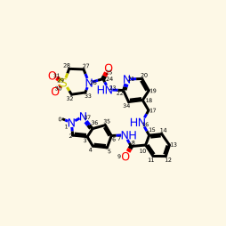 Cn1cc2ccc(NC(=O)c3ccccc3NCc3ccnc(NC(=O)N4CCS(=O)(=O)CC4)c3)cc2n1